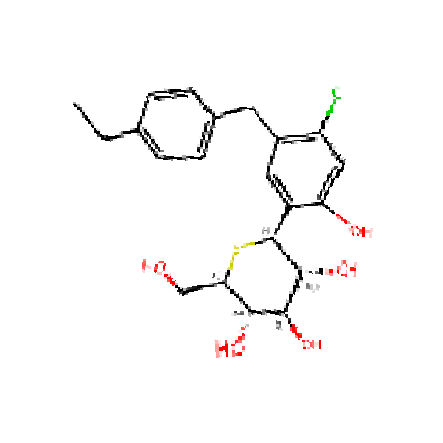 CCc1ccc(Cc2cc([C@@H]3S[C@H](CO)[C@@H](O)[C@H](O)[C@H]3O)c(O)cc2Cl)cc1